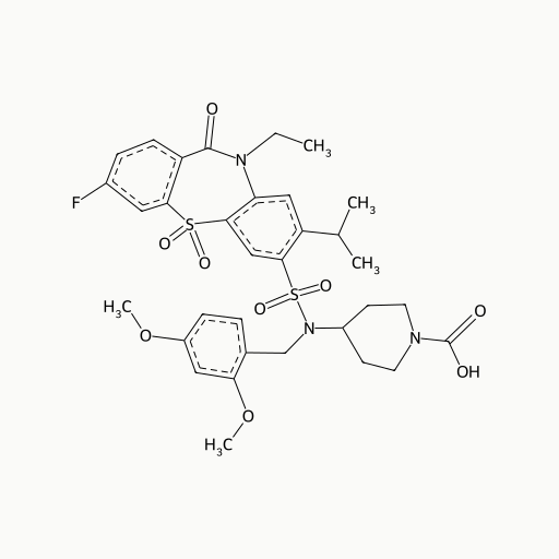 CCN1C(=O)c2ccc(F)cc2S(=O)(=O)c2cc(S(=O)(=O)N(Cc3ccc(OC)cc3OC)C3CCN(C(=O)O)CC3)c(C(C)C)cc21